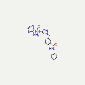 Nc1nccnc1C(=O)Nc1cnn(Cc2cccc(C(=O)NCc3ccccc3)c2)c1